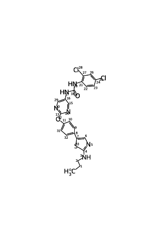 CCCNc1ncc(-c2ccc(Oc3ncc(NC(=O)Nc4ccc(Cl)cc4Cl)cn3)cc2)s1